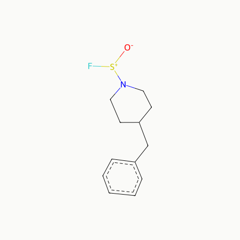 [O-][S+](F)N1CCC(Cc2ccccc2)CC1